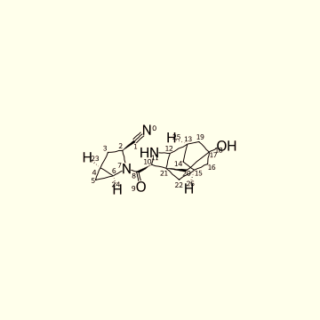 N#C[C@@H]1C[C@@H]2C[C@@H]2N1C(=O)[C@H]1NC2[C@@H]3C[C@H]4CC(O)(C3)C[C@]21C4